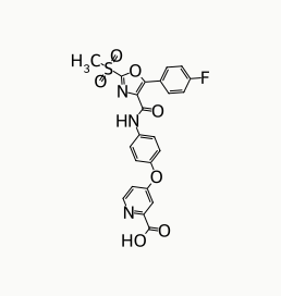 CS(=O)(=O)c1nc(C(=O)Nc2ccc(Oc3ccnc(C(=O)O)c3)cc2)c(-c2ccc(F)cc2)o1